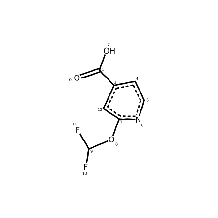 O=C(O)c1ccnc(OC(F)F)c1